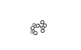 c1ccc(-c2cc3oc4ccc5oc6ccccc6c5c4c3cc2-n2c3ccccc3c3ccccc32)cc1